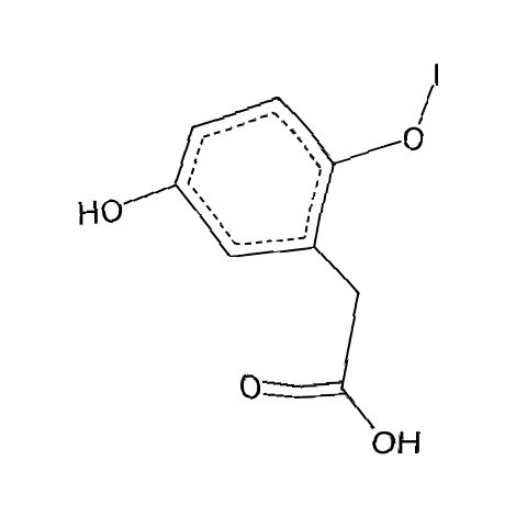 O=C(O)Cc1cc(O)ccc1OI